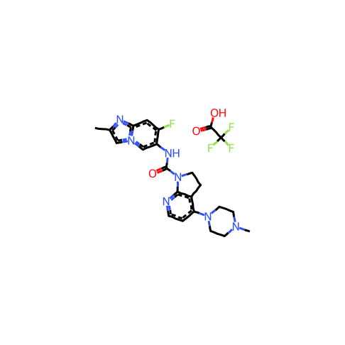 Cc1cn2cc(NC(=O)N3CCc4c(N5CCN(C)CC5)ccnc43)c(F)cc2n1.O=C(O)C(F)(F)F